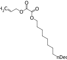 C=CCOC(=O)C(=O)OCCCCCCCCCCCCCCCCCC